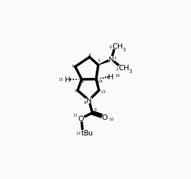 CN(C)[C@@H]1CC[C@@H]2CN(C(=O)OC(C)(C)C)C[C@@H]21